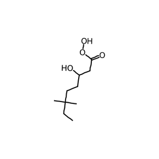 CCC(C)(C)CCC(O)CC(=O)OO